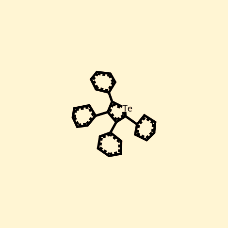 c1ccc(-c2[te]c(-c3ccccc3)c(-c3ccccc3)c2-c2ccccc2)cc1